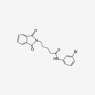 O=C(CCCCN1C(=O)c2ccccc2C1=O)Nc1cccc(Br)c1